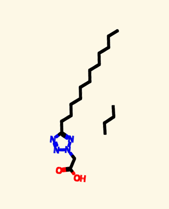 CCCC.CCCCCCCCCCCCc1nnn(CC(=O)O)n1